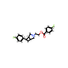 O=C(OCCN1CC2CC(c3ccc(F)cc3)C2C1)c1ccc(F)cc1